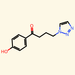 O=C(CCCn1ccnn1)c1ccc(O)cc1